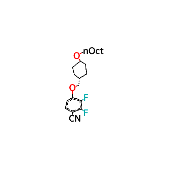 CCCCCCCCO[C@H]1CC[C@H](COc2ccc(C#N)c(F)c2F)CC1